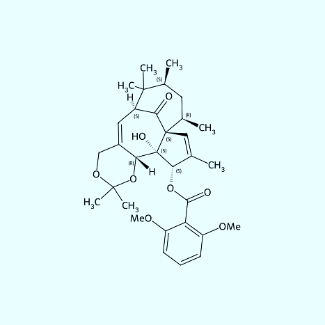 COc1cccc(OC)c1C(=O)O[C@H]1C(C)=C[C@]23C(=O)[C@@H](C=C4COC(C)(C)O[C@H]4[C@]12O)C(C)(C)[C@@H](C)C[C@H]3C